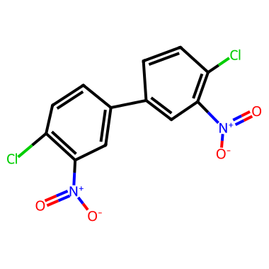 O=[N+]([O-])c1cc(-c2ccc(Cl)c([N+](=O)[O-])c2)ccc1Cl